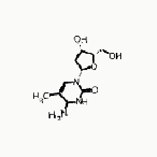 CC1=CN([C@@H]2C[C@H](O)[C@H](CO)O2)C(=O)NC1N